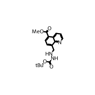 COC(=O)c1ccc(CNNC(=O)OC(C)(C)C)c2ncccc12